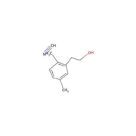 C#N.Cc1ccc(C)c(CCO)c1